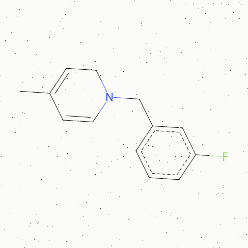 CC1=CCN(Cc2cccc(F)c2)C=C1